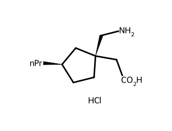 CCC[C@@H]1CC[C@@](CN)(CC(=O)O)C1.Cl